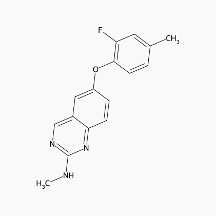 CNc1ncc2cc(Oc3ccc(C)cc3F)ccc2n1